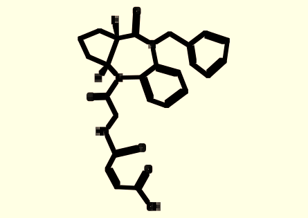 O=C(O)/C=C\C(=O)NCC(=O)N1c2ccccc2N(Cc2ccccc2)C(=O)[C@H]2CCC[C@H]21